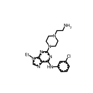 CCn1cnc2c(Nc3cccc(Cl)c3)nc(N3CCN(CCN)CC3)nc21